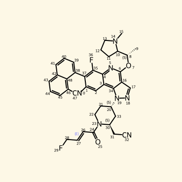 Cc1cc2c(nc(O[C@@H](C)C3CCCN3C)c3cnn([C@H]4CCN(C(=O)/C=C/CF)[C@H](CC#N)C4)c32)c(F)c1-c1cccc2cccc(C#N)c12